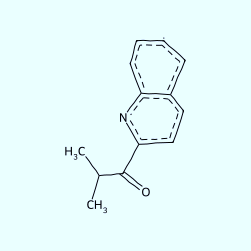 CC(C)C(=O)c1ccc2c[c]ccc2n1